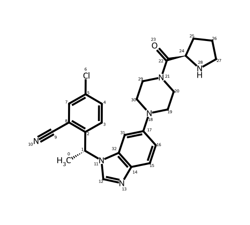 C[C@H](c1ccc(Cl)cc1C#N)n1cnc2ccc(N3CCN(C(=O)[C@H]4CCCN4)CC3)cc21